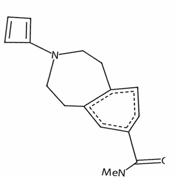 CNC(=O)c1ccc2c(c1)CCN(C1=CC=C1)CC2